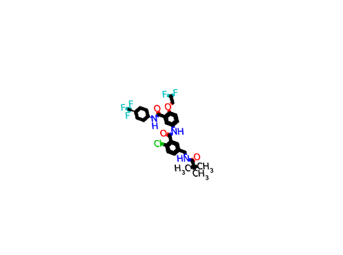 CC(C)(C)C(=O)NCc1ccc(Cl)c(C(=O)Nc2ccc(OCC(F)F)c(C(=O)N[C@H]3CC[C@H](C(F)(F)F)CC3)c2)c1